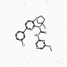 COc1cncc(NC(=O)N2c3nc(-c4cccc(Cl)c4)ccc3N3CC[C@H]2C3)n1